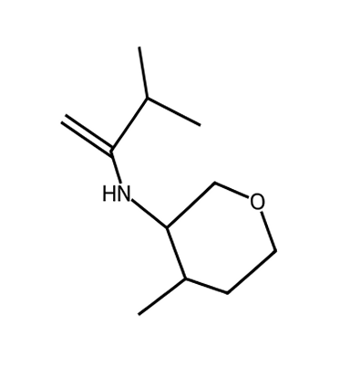 C=C(NC1COCCC1C)C(C)C